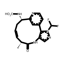 C[C@@H]1C=CC[C@H](NC(=O)O)c2cc(ccn2)-c2c(cnn2C(F)F)NC1=O